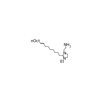 CCCCCCCC/C=C/CCCCCCCC1=[N+](CC)CCN1CCN